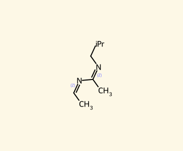 C/C=N\C(C)=N/CC(C)C